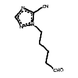 N#Cc1ncnn1CCCCC=O